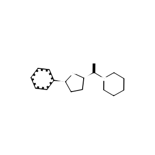 O=C([C@H]1CC[C@@H](c2ccccc2)N1)N1CCCCC1